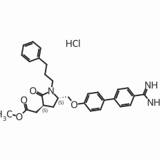 COC(=O)C[C@@H]1C[C@@H](COc2ccc(-c3ccc(C(=N)N)cc3)cc2)N(CCCc2ccccc2)C1=O.Cl